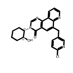 O=c1c2cc(Cc3ccc(Cl)nc3)c3ncccc3c2ncn1[C@H]1CCCC[C@@H]1O